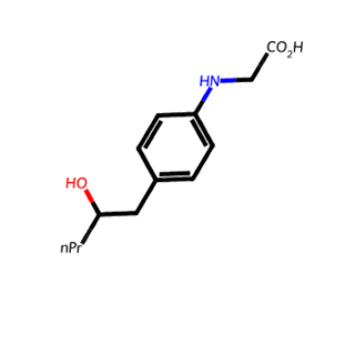 CCCC(O)Cc1ccc(NCC(=O)O)cc1